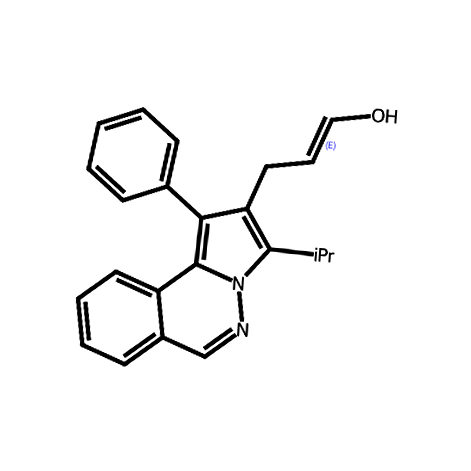 CC(C)c1c(C/C=C/O)c(-c2ccccc2)c2c3ccccc3cnn12